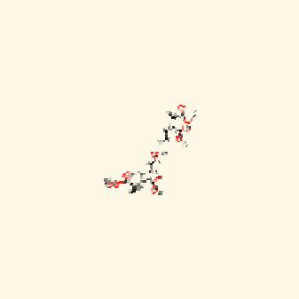 COC(=O)C(C)C(CCCCOCCCCC(C(=O)OC)C(C)C(=O)OC)C(=O)OC